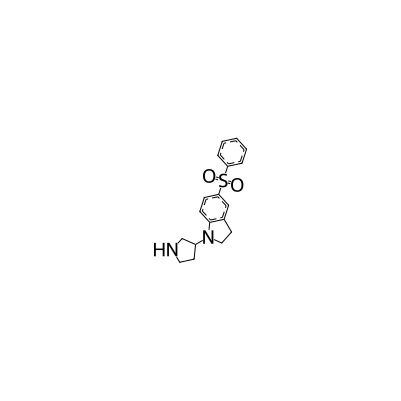 O=S(=O)(c1ccccc1)c1ccc2c(c1)CCN2C1CCNC1